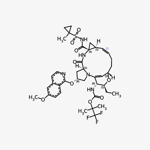 CC[C@@H]1O[C@@H]2C=C([C@H]1NC(=O)OC(C)(C)C(F)(F)F)N1C[C@H](Oc3nccc4cc(OC)ccc34)C[C@H]1C(=O)N[C@]1(C(=O)NS(=O)(=O)C3(C)CC3)C[C@H]1/C=C\CC2